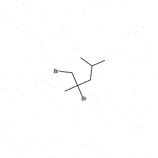 CC(C)CC(C)(Br)CBr